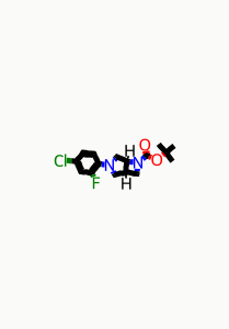 CC(C)(C)OC(=O)N1C[C@H]2CN(c3ccc(Cl)cc3F)C[C@H]21